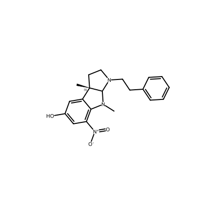 CN1c2c([N+](=O)[O-])cc(O)cc2[C@]2(C)CCN(CCc3ccccc3)C12